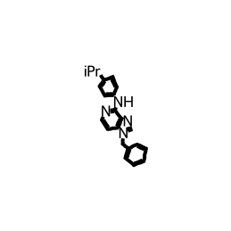 CC(C)c1ccc(Nc2nccc3c2ncn3Cc2ccccc2)cc1